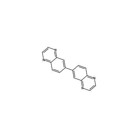 c1cnc2cc(-c3ccc4nccnc4c3)ccc2n1